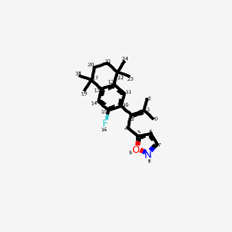 CC(C)=C(Cc1ccno1)c1cc2c(cc1F)C(C)(C)CCC2(C)C